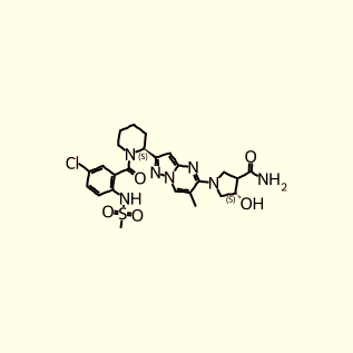 Cc1cn2nc([C@@H]3CCCCN3C(=O)c3cc(Cl)ccc3NS(C)(=O)=O)cc2nc1N1CC(C(N)=O)[C@H](O)C1